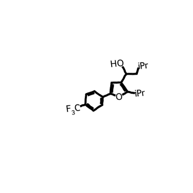 CC(C)CC(O)c1cc(-c2ccc(C(F)(F)F)cc2)oc1C(C)C